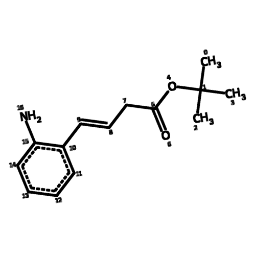 CC(C)(C)OC(=O)CC=Cc1ccccc1N